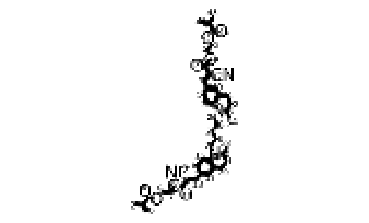 C=C(C)C(=O)OCCOC(=O)/C(C#N)=C/c1ccc2c(c1)CCC(C)N2CCCCCN1c2ccc(/C=C(\C#N)C(=O)OCCOC(=O)C(=C)C)cc2CCC1C